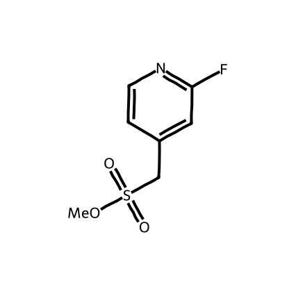 COS(=O)(=O)Cc1ccnc(F)c1